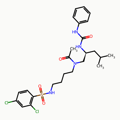 CC(=O)N(CCCCNS(=O)(=O)c1ccc(Cl)cc1Cl)C[C@H](CC(C)C)NC(=O)Nc1ccccc1